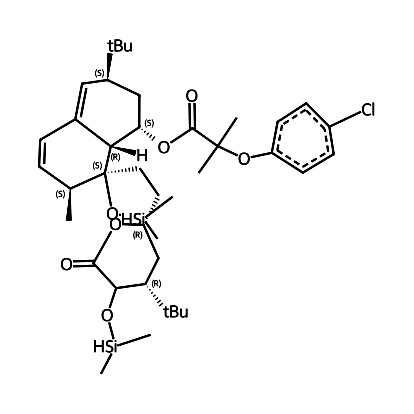 C[C@H]1C=CC2=C[C@@H](C(C)(C)C)C[C@H](OC(=O)C(C)(C)Oc3ccc(Cl)cc3)[C@@H]2[C@@]1(CC[C@@H]1C[C@H](C(C)(C)C)C(O[SiH](C)C)C(=O)O1)O[SiH](C)C